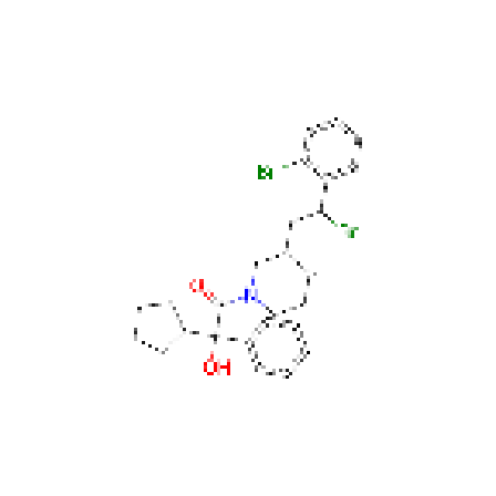 O=C(N1CC[CH]C(CC(Br)c2ccccc2Br)C1)C(O)(c1ccccc1)C1CCCC1